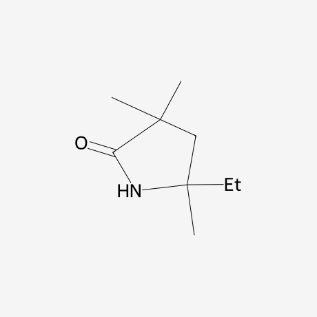 CCC1(C)CC(C)(C)C(=O)N1